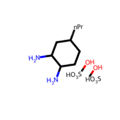 CCCC1CCC(N)C(N)C1.O=S(=O)(O)O.O=S(=O)(O)O